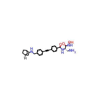 NC[C@H](NC(=O)c1ccc(C#Cc2ccc(CNC3C[C@@H]4CCC3C4)cc2)cc1)C(=O)NO